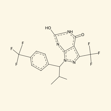 CC(C)C(c1ccc(C(F)(F)F)cc1)n1nc(C(F)(F)F)c2c(=O)[nH]c(O)nc21